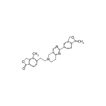 C=C1OCc2cc(-c3ncc4c(n3)CCN(CCc3ccc5c(c3C)COC5=O)C4)ccc21